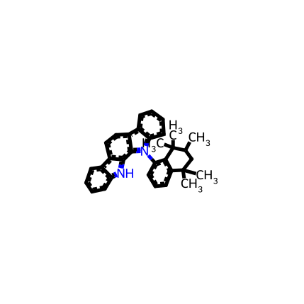 CC1CC(C)(C)c2cccc(-n3c4ccccc4c4ccc5c6ccccc6[nH]c5c43)c2C1(C)C